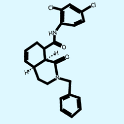 O=C(Nc1ccc(Cl)cc1Cl)C1CC=C[C@@H]2CCN(Cc3ccccc3)C(=O)[C@H]12